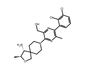 Cc1nc(N2CCC3(CC2)CO[C@@H](C)[C@@H]3N)c(CO)nc1-c1cccc(Cl)c1Cl